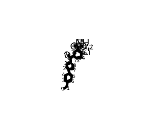 CCc1ccc(-c2ccc(C(=O)c3ccc(Cl)c(S(N)(=O)=O)c3)cc2)cc1